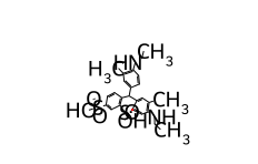 CCNc1ccc(C(c2ccc(NCC)c(C)c2)c2ccc(S(=O)(=O)O)cc2S(=O)O)cc1C